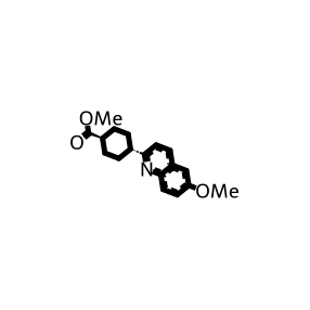 COc1ccc2nc([C@H]3CC[C@H](C(=O)OC)CC3)ccc2c1